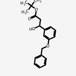 CC(C)(C)OC(=O)CC(O)c1cccc(OCc2ccccc2)c1